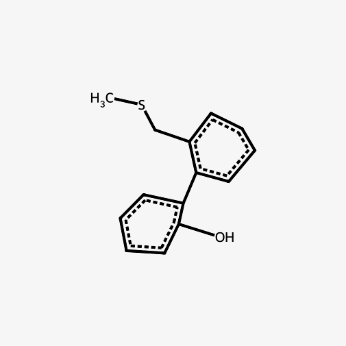 CSCc1ccccc1-c1ccccc1O